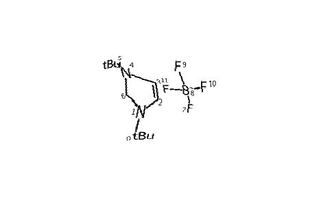 CC(C)(C)N1C=CN(C(C)(C)C)C1.F[B-](F)(F)F